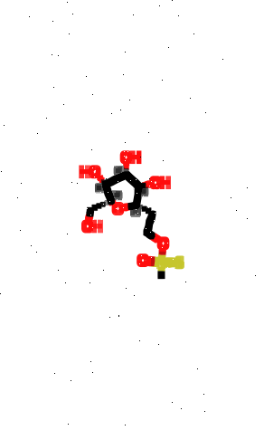 CS(=O)(=S)OCC[C@@H]1O[C@H](CO)[C@H](O)[C@H](O)[C@H]1O